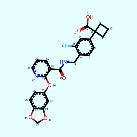 O=C(NCc1ccc(C2(C(=O)O)CCC2)cc1F)c1cccnc1Oc1ccc2c(c1)OCO2